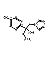 OC(Cn1cncn1)(CC(Cl)(Cl)Cl)c1ccc(Cl)cc1